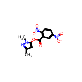 Cc1cc(OC(=O)c2cc([N+](=O)[O-])ccc2[N+](=O)[O-])n(C)n1